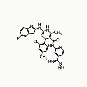 CC1=C(C(=O)Nc2cc(C(=N)N=N)ccn2)C(c2ccc(C)cc2Cl)N=C(NC2=Nc3ccc(F)cc3C2)N1